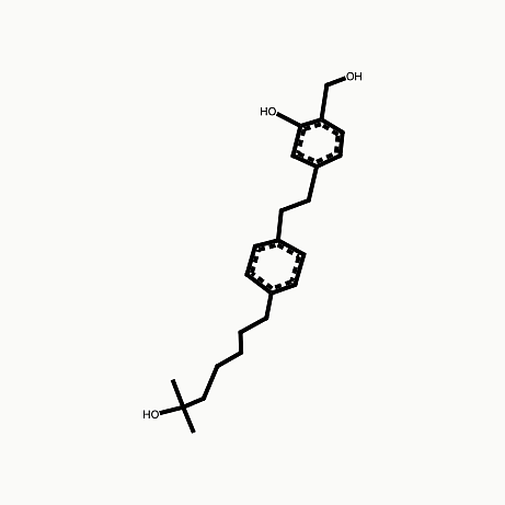 CC(C)(O)CCCCCc1ccc(CCc2ccc(CO)c(O)c2)cc1